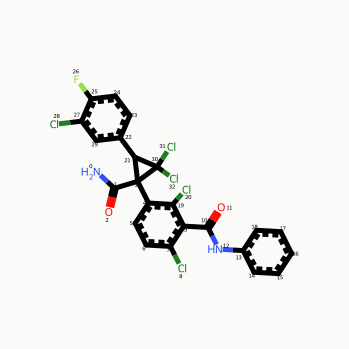 NC(=O)C1(c2ccc(Cl)c(C(=O)Nc3ccccc3)c2Cl)C(c2ccc(F)c(Cl)c2)C1(Cl)Cl